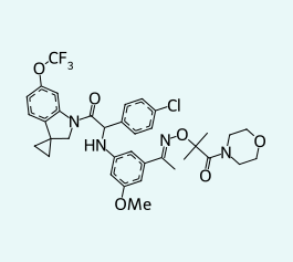 COc1cc(NC(C(=O)N2CC3(CC3)c3ccc(OC(F)(F)F)cc32)c2ccc(Cl)cc2)cc(C(C)=NOC(C)(C)C(=O)N2CCOCC2)c1